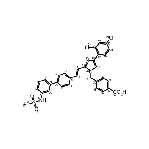 CC(C)S(=O)(=O)Nc1cccc(-c2ccc(/C=C/c3nc(-c4ccc(Cl)cc4Cl)cn3Cc3ccc(C(=O)O)cc3)cc2)c1